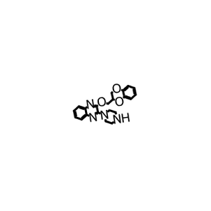 c1ccc2c(c1)OCC(COc1nc3ccccc3nc1N1CCNCC1)O2